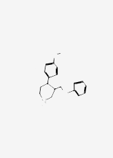 COc1ccc(C2CCN(C)CC2COc2ccccc2)cc1.Cl